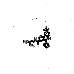 CN(C)CCNC(=O)C1COC2c3cc(C(F)(F)F)ccc3NC(c3ccccc3)C2C1